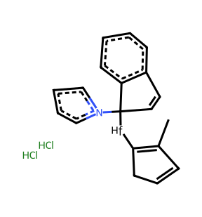 CC1=[C]([Hf][C]2(n3cccc3)C=Cc3ccccc32)CC=C1.Cl.Cl